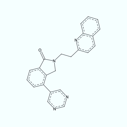 O=C1c2cccc(-c3cncnc3)c2CN1CCc1ccc2ccccc2n1